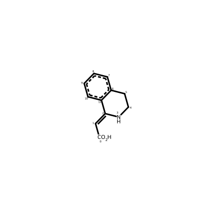 O=C(O)C=C1NCCc2ccccc21